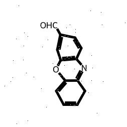 O=Cc1ccc2c(c1)OC1=CC=CCC1=N2